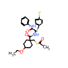 CCOC1CCC(CSC(C)=O)(C(=O)N[C@@H](Cc2ccc(F)cc2)C(=O)Nc2ccccc2)CC1